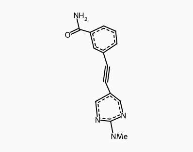 CNc1ncc(C#Cc2cccc(C(N)=O)c2)cn1